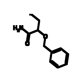 [CH2]CC(OCc1ccccc1)C(N)=O